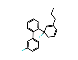 CCCC1=CC(F)(c2ccccc2-c2cccc(F)c2)CC=C1